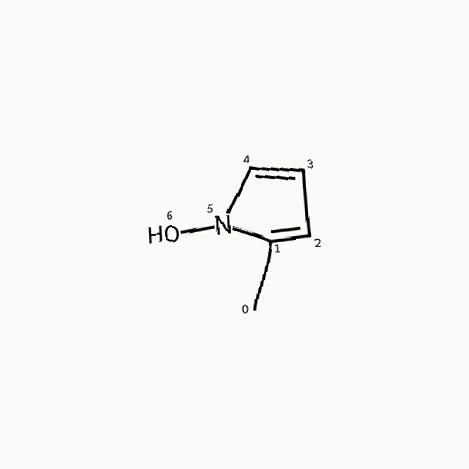 Cc1cccn1O